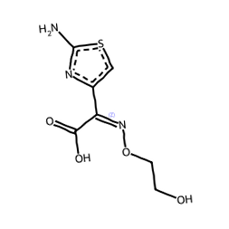 Nc1nc(/C(=N/OCCO)C(=O)O)cs1